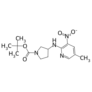 Cc1cnc(NC2CCN(C(=O)OC(C)(C)C)C2)c([N+](=O)[O-])c1